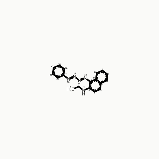 CCNc1ccc2ccccc2c1/N=N/N=N/c1ccccc1